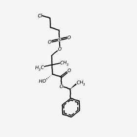 C[C@H](OC(=O)[C@H](O)C(C)(C)COS(=O)(=O)CCCCl)c1ccccc1